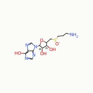 NCCC[S+]([O-])CC1OC(n2cnc3c(O)ncnc32)[C@H](O)[C@@H]1O